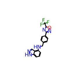 FC(F)(F)c1nc(-c2ccc(CNc3cccc4[nH]ncc34)cc2)no1